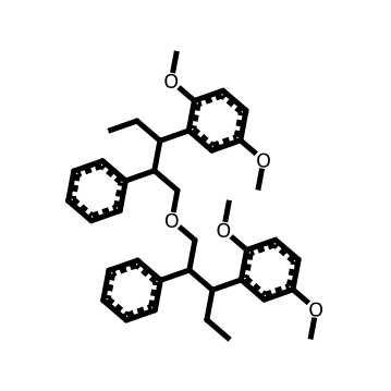 CCC(c1cc(OC)ccc1OC)C(COCC(c1ccccc1)C(CC)c1cc(OC)ccc1OC)c1ccccc1